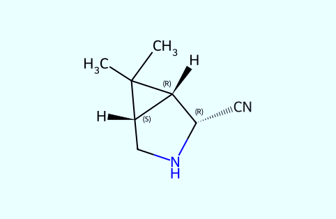 CC1(C)[C@@H]2[C@H](C#N)NC[C@@H]21